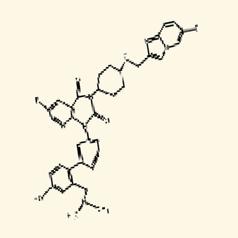 CN(C)Cc1cc(O)ccc1-c1cccc(-n2c(=O)n(C3CCC(NCc4cn5cc(F)ccc5n4)CC3)c(=O)c3cc(F)cnc32)c1